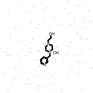 Cl.OCCN1CCN(Cc2cccnc2)CC1